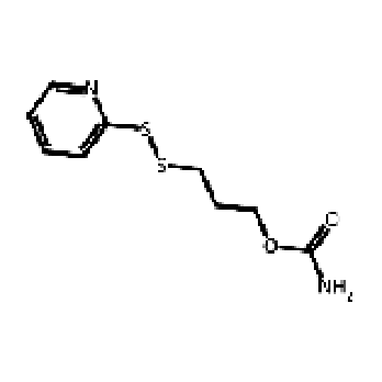 NC(=O)OCCCSSc1ccccn1